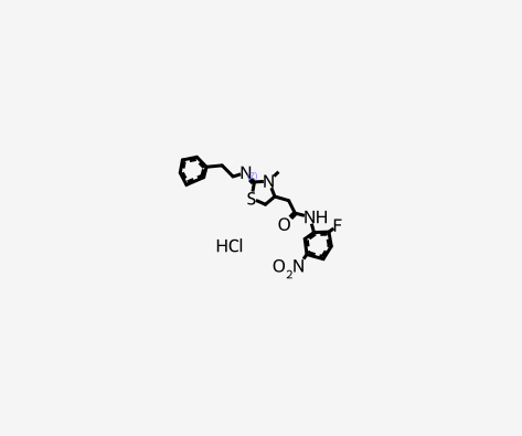 CN1/C(=N/CCc2ccccc2)SCC1CC(=O)Nc1cc([N+](=O)[O-])ccc1F.Cl